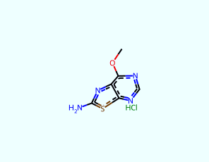 COc1ncnc2sc(N)nc12.Cl